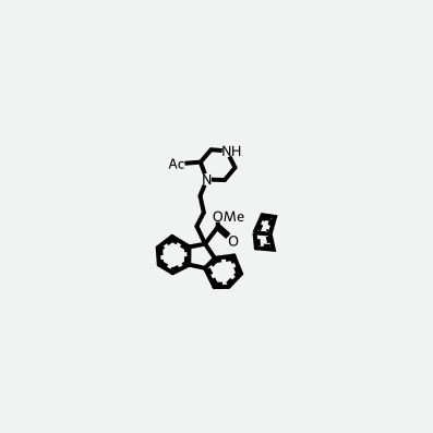 COC(=O)C1(CCCN2CCNCC2C(C)=O)c2ccccc2-c2ccccc21.c1cc2ccc1-2